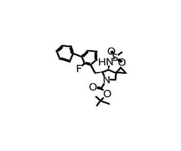 CC(C)(C)OC(=O)N1CC2(CC2)[C@H](NS(C)(=O)=O)[C@@H]1Cc1cccc(-c2ccccc2)c1F